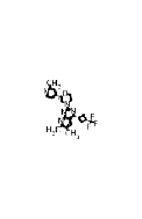 Cc1cc([C@H]2CN(c3nc4nc(C)c(C)cc4c([C@H]4C[C@H](C(F)(F)F)C4)n3)CCO2)ccn1